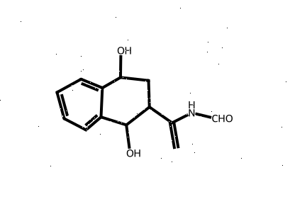 C=C(NC=O)C1CC(O)c2ccccc2C1O